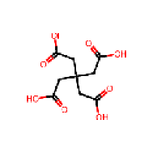 O=C(O)CC(CC(=O)O)(CC(=O)O)CC(=O)O